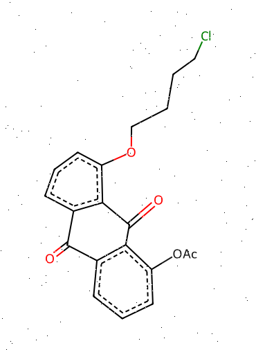 CC(=O)Oc1cccc2c1C(=O)c1c(OCCCCCl)cccc1C2=O